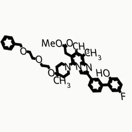 COC(=O)Cc1c(C)c(C)c2nc(-c3cccc(-c4cc(F)ccc4O)c3)cn2c1N1CCC(C)(OCCOCCOCc2ccccc2)CC1